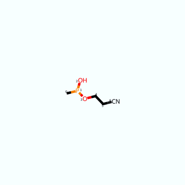 CP(O)OCCC#N